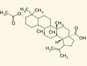 C=C(C)C1CC[C@]2(C(=O)O)CC[C@]3(C)C(CCC4[C@@]5(C)CC[C@H](OC(C)=O)C(C)(C)C5CC[C@]43C)[C@@H]12